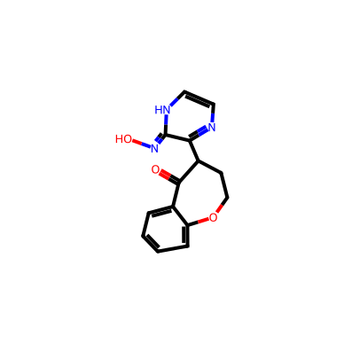 O=C1c2ccccc2OCCC1c1ncc[nH]c1=NO